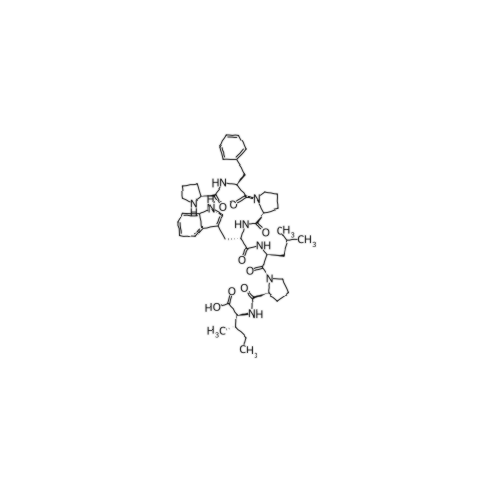 CC[C@H](C)[C@H](NC(=O)[C@@H]1CCCN1C(=O)[C@H](CC(C)C)NC(=O)[C@H](Cc1c[nH]c2ccccc12)NC(=O)[C@@H]1CCCN1C(=O)[C@H](Cc1ccccc1)NC(=O)[C@@H]1CCCN1)C(=O)O